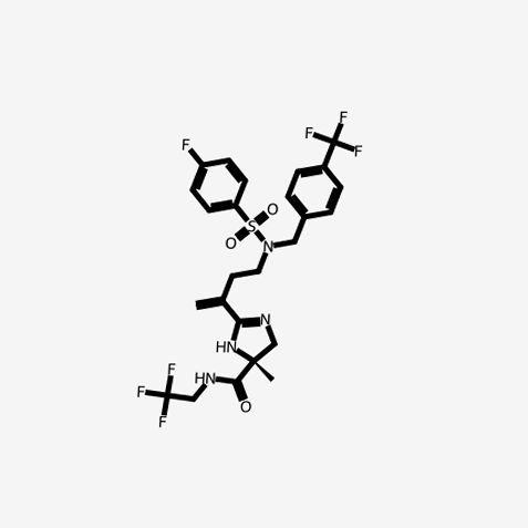 C=C(CCN(Cc1ccc(C(F)(F)F)cc1)S(=O)(=O)c1ccc(F)cc1)C1=NC[C@](C)(C(=O)NCC(F)(F)F)N1